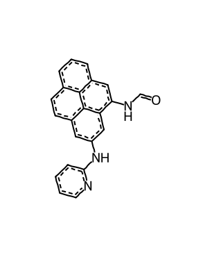 O=CNc1cc2cccc3ccc4cc(Nc5ccccn5)cc1c4c32